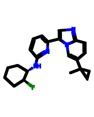 CC1(c2ccc3ncc(-c4cccc(N[C@H]5CCCC[C@@H]5F)n4)n3c2)CC1